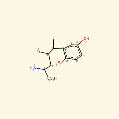 CCC(CC(N)C(=O)O)C(C)c1cc(O)ccc1O